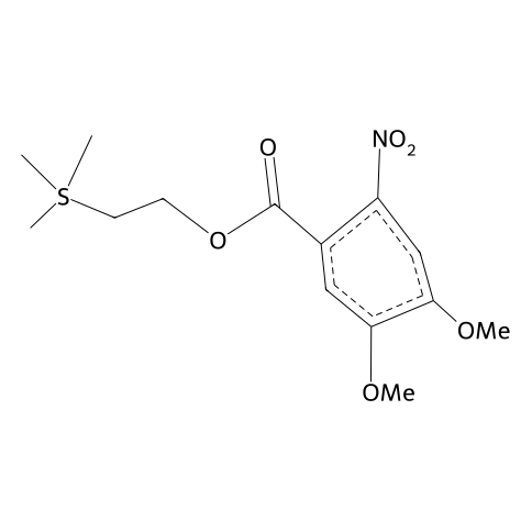 COc1cc(C(=O)OCCS(C)(C)C)c([N+](=O)[O-])cc1OC